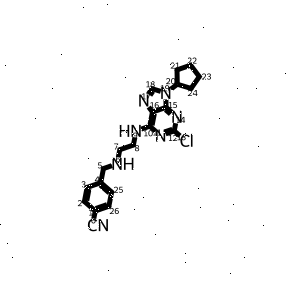 N#Cc1ccc(CNCCNc2nc(Cl)nc3c2ncn3C2CCCC2)cc1